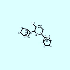 ClCC(OC(CCl)C1CC2CCC1C2)C1CC2CCC1C2